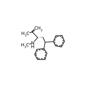 C=C(C)[C@H](CC(c1ccccc1)c1ccccc1)NC